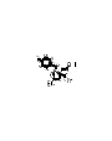 CC[C@H]1C[C@@](CCO)(CC(C)C)N(Cc2ccc(C)cc2)O1